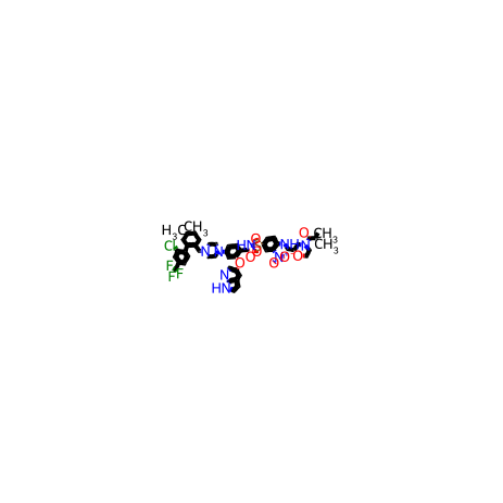 CC(C)C(=O)N1CCOC(CNc2ccc(S(=O)(=O)NC(=O)c3ccc(N4CCN(CC5=C(c6ccc(C(F)(F)F)cc6Cl)CC(C)(C)CC5)CC4)cc3Oc3cnc4[nH]ccc4c3)cc2[N+](=O)[O-])C1